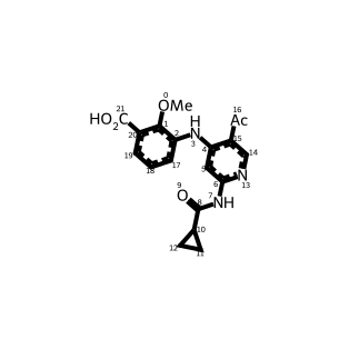 COc1c(Nc2cc(NC(=O)C3CC3)ncc2C(C)=O)cccc1C(=O)O